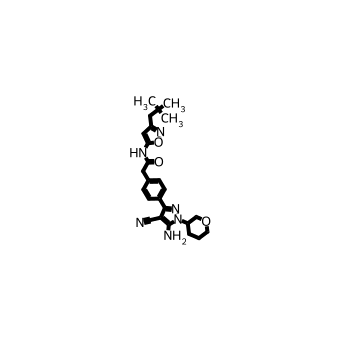 CC(C)(C)Cc1cc(NC(=O)Cc2ccc(-c3nn(C4CCCOC4)c(N)c3C#N)cc2)on1